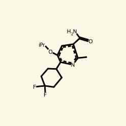 Cc1nc(C2CCC(F)(F)CC2)c(OC(C)C)cc1C(N)=O